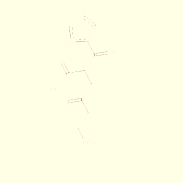 CCCC(=O)CC(C(=O)O)C(=O)c1cccs1